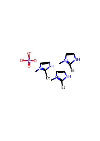 CCc1[nH]cc[n+]1C.CCc1[nH]cc[n+]1C.CCc1[nH]cc[n+]1C.O=P([O-])([O-])[O-]